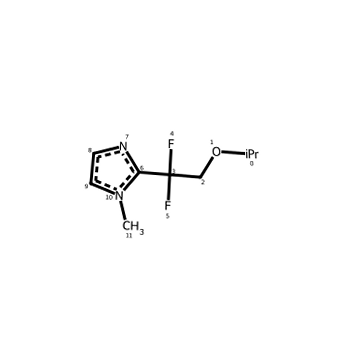 CC(C)OCC(F)(F)c1nccn1C